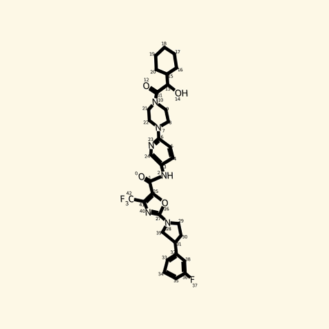 O=C(Nc1ccc(N2CCN(C(=O)C(O)C3CCCCC3)CC2)nc1)c1oc(N2CCC(c3cccc(F)c3)C2)nc1C(F)(F)F